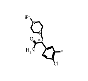 CC(C)N1CCN(C[C@@H](C(N)=O)c2ccc(Cl)c(F)c2)CC1